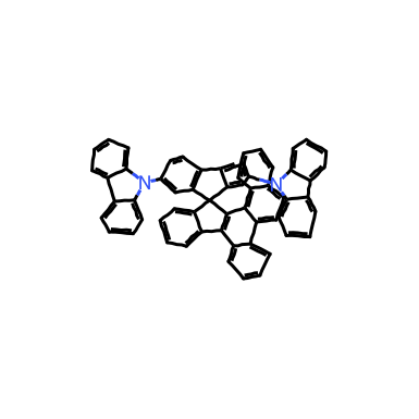 c1ccc2c(c1)-c1c(c3c4ccccc4ccc3c3ccccc13)C21c2cc(-n3c4ccccc4c4ccccc43)ccc2-c2ccc(-n3c4ccccc4c4ccccc43)cc21